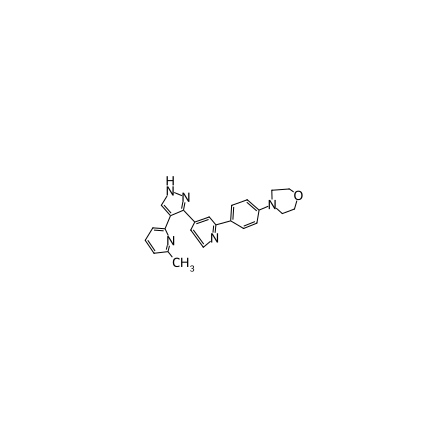 Cc1cccc(-c2c[nH]nc2-c2ccnc(-c3ccc(N4CCOCC4)cc3)c2)n1